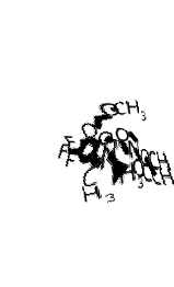 COCCCOc1cc(C(C)N(C(=O)[C@H]2CN(C(=O)OC(C)(C)C)CCO2)C2CC2)cc(C(F)(F)F)c1